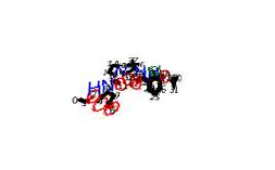 CCO[C@@H]1OC(=O)C[C@@H]1NC(=O)[C@@H]1CCCN1C(=O)[C@@H](NC(=O)c1cccc(OC2CC2)c1Cl)C(C)(C)C